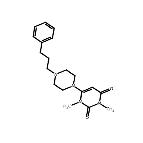 Cn1c(N2CCN(CCCc3ccccc3)CC2)cc(=O)n(C)c1=O